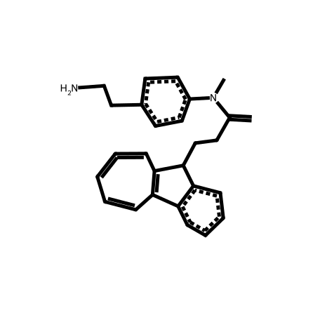 C=C(CCC1C2=C(C=CC=C=C2)c2ccccc21)N(C)c1ccc(CCN)cc1